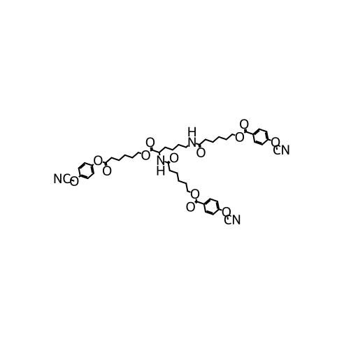 N#COc1ccc(OC(=O)CCCCCOC(=O)C(CCCCNC(=O)CCCCCOC(=O)c2ccc(OC#N)cc2)NC(=O)CCCCCOC(=O)c2ccc(OC#N)cc2)cc1